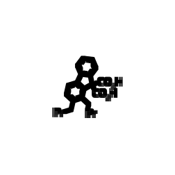 CC(C)Cc1ccc2c(c1CC(C)C)C(C(=O)O)(C(=O)O)c1ccccc1-2